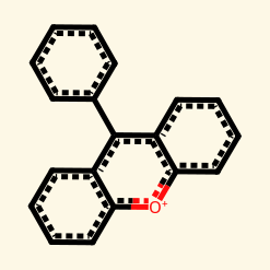 c1ccc(-c2c3ccccc3[o+]c3ccccc23)cc1